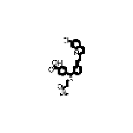 CN(C)C(=O)CCSC(c1ccc(C(=O)O)cc1)c1cccc(C=Cc2ccc3ccc(Cl)cc3n2)c1